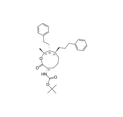 C[C@@H]1OC(=O)[C@@H](NC(=O)OC(C)(C)C)CCC[C@H](CCCc2ccccc2)[C@H]1CCc1ccccc1